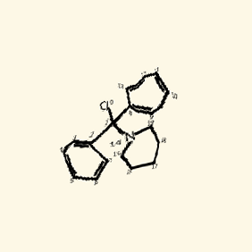 ClC(c1ccccc1)(c1ccccc1)N1CCCCC1